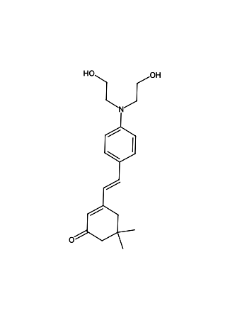 CC1(C)CC(=O)C=C(C=Cc2ccc(N(CCO)CCO)cc2)C1